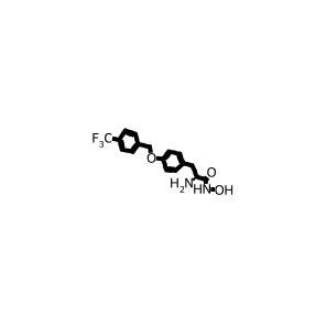 N[C@@H](Cc1ccc(OCc2ccc(C(F)(F)F)cc2)cc1)C(=O)NO